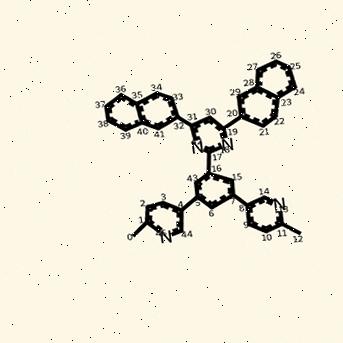 Cc1ccc(-c2cc(-c3ccc(C)nc3)cc(-c3nc(-c4ccc5ccccc5c4)cc(-c4ccc5ccccc5c4)n3)c2)cn1